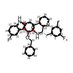 Cc1cc(F)cc(C[C@H](NC(=O)Cc2c[nH]c3ccc(F)cc23)c2ncccc2-c2cccc(OCc3ccccc3)c2)c1